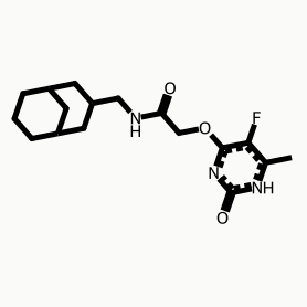 Cc1[nH]c(=O)nc(OCC(=O)NCC2CC3CCCC(C3)C2)c1F